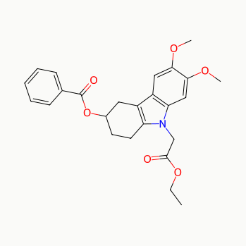 CCOC(=O)Cn1c2c(c3cc(OC)c(OC)cc31)CC(OC(=O)c1ccccc1)CC2